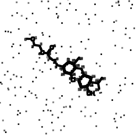 COCCOC(=O)CSCc1cc(C)c(Cc2ccc(O)c(C(C)C)c2)c(Cl)c1